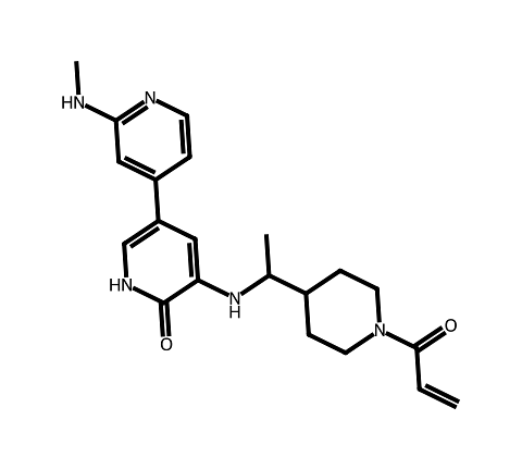 C=CC(=O)N1CCC(C(C)Nc2cc(-c3ccnc(NC)c3)c[nH]c2=O)CC1